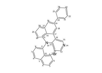 Brc1cccc2cccc(N3c4ccncc4-c4cc(-c5ccccc5)cc5cccc3c45)c12